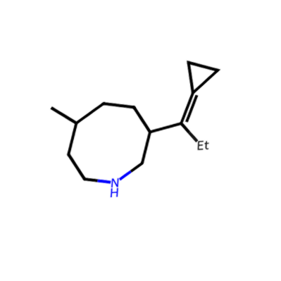 CCC(=C1CC1)C1CCC(C)CCNC1